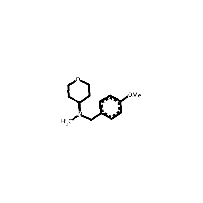 COc1ccc(CN(C)C2CCOCC2)cc1